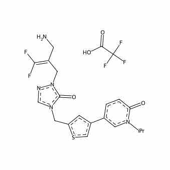 CC(C)n1cc(-c2csc(Cn3cnn(CC(CN)=C(F)F)c3=O)c2)ccc1=O.O=C(O)C(F)(F)F